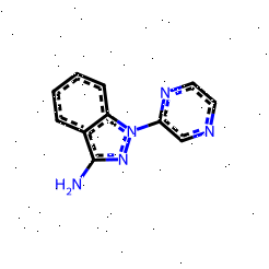 Nc1nn(-c2cnccn2)c2ccccc12